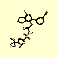 COC1(c2cc(S(=O)(=O)NC(=O)Cc3c(-c4ccnc(C#N)c4)cc(F)c4c3CCC4)nn2C)COC1